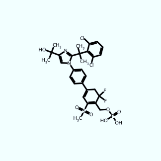 CC(C)(O)c1cn(-c2ccc(C3=CC(S(C)(=O)=O)=C(COP(=O)(O)O)C(F)(F)C3)cc2)c(C(C)(C)c2c(Cl)cccc2Cl)n1